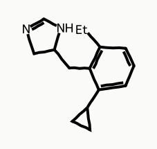 CCc1cccc(C2CC2)c1CC1CN=CN1